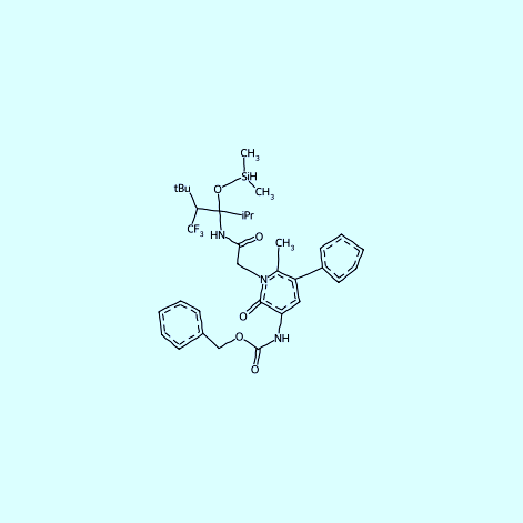 Cc1c(-c2ccccc2)cc(NC(=O)OCc2ccccc2)c(=O)n1CC(=O)NC(O[SiH](C)C)(C(C)C)C(C(C)(C)C)C(F)(F)F